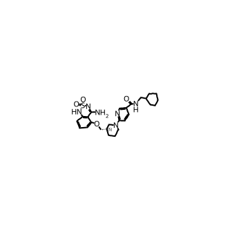 NC1=NS(=O)(=O)Nc2cccc(OC[C@H]3CCCN(c4ccc(C(=O)NCC5CCCCC5)cn4)C3)c21